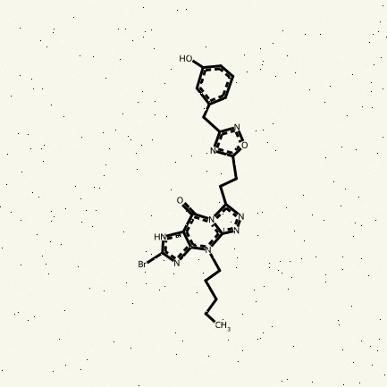 CCCCCn1c2nc(Br)[nH]c2c(=O)n2c(CCc3nc(Cc4cccc(O)c4)no3)nnc12